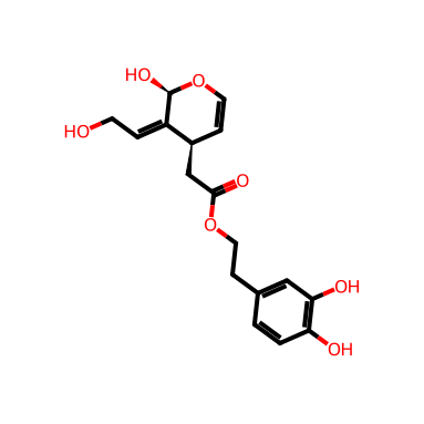 O=C(C[C@@H]1C=CO[C@H](O)/C1=C\CO)OCCc1ccc(O)c(O)c1